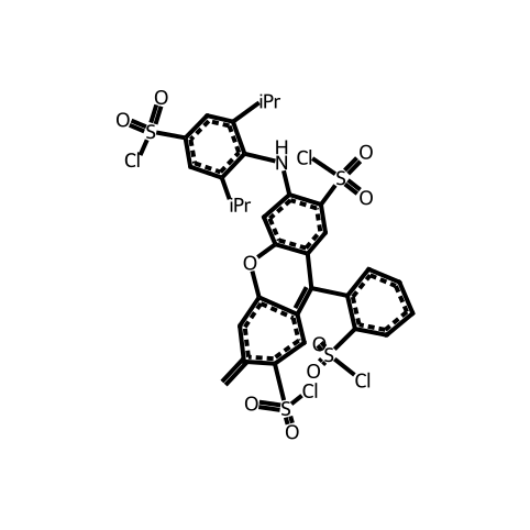 C=c1cc2c(cc1S(=O)(=O)Cl)=C(c1ccccc1S(=O)(=O)Cl)c1cc(S(=O)(=O)Cl)c(Nc3c(C(C)C)cc(S(=O)(=O)Cl)cc3C(C)C)cc1O2